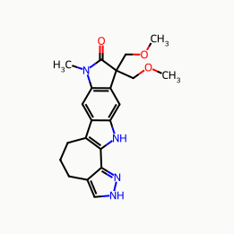 COCC1(COC)C(=O)N(C)c2cc3c4c([nH]c3cc21)-c1n[nH]cc1CCC4